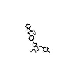 O=C(Nc1ccc(-c2cc3c(s2)c(=O)ncn3Cc2ccc(Cl)cc2)cc1Cl)c1ccccn1